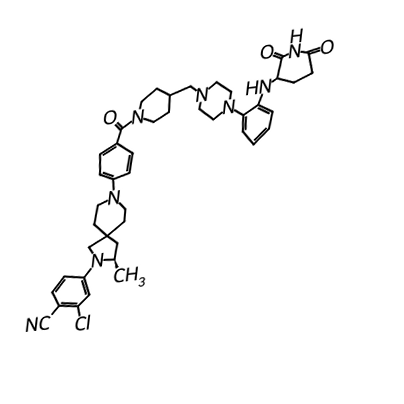 C[C@@H]1CC2(CCN(c3ccc(C(=O)N4CCC(CN5CCN(c6ccccc6NC6CCC(=O)NC6=O)CC5)CC4)cc3)CC2)CN1c1ccc(C#N)c(Cl)c1